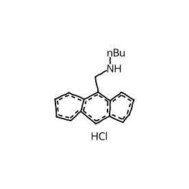 CCCCNCc1c2ccccc2cc2ccccc12.Cl